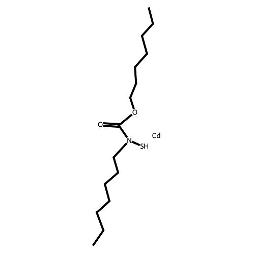 CCCCCCCOC(=O)N(S)CCCCCCC.[Cd]